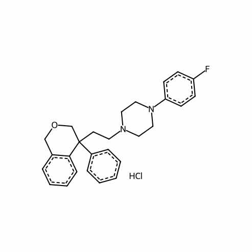 Cl.Fc1ccc(N2CCN(CCC3(c4ccccc4)COCc4ccccc43)CC2)cc1